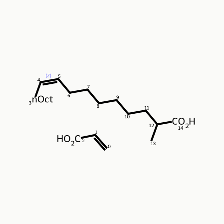 C=CC(=O)O.CCCCCCCC/C=C\CCCCCCC(C)C(=O)O